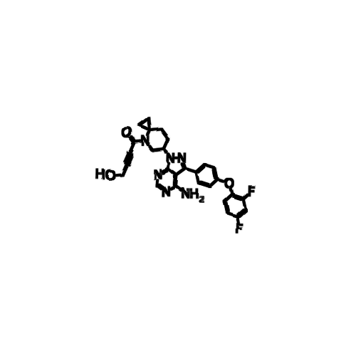 Nc1ncnc2c1c(-c1ccc(Oc3ccc(F)cc3F)cc1)nn2[C@@H]1CCC2(CC2)N(C(=O)C#CCO)C1